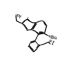 CCc1ccccc1-c1c(C(C)(C)C)ccc2c1C=C(CC(C)C)[CH]2